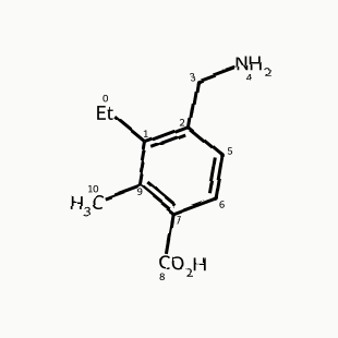 CCc1c(CN)ccc(C(=O)O)c1C